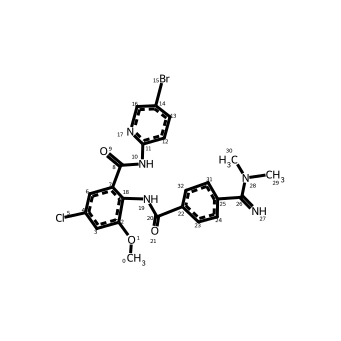 COc1cc(Cl)cc(C(=O)Nc2ccc(Br)cn2)c1NC(=O)c1ccc(C(=N)N(C)C)cc1